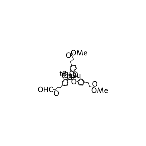 COC(=O)CCc1ccc(OP(Oc2ccc(CCC(=O)C=O)cc2C(C)(C)C)Oc2ccc(CCC(=O)OC)cc2C(C)(C)C)c(C(C)(C)C)c1